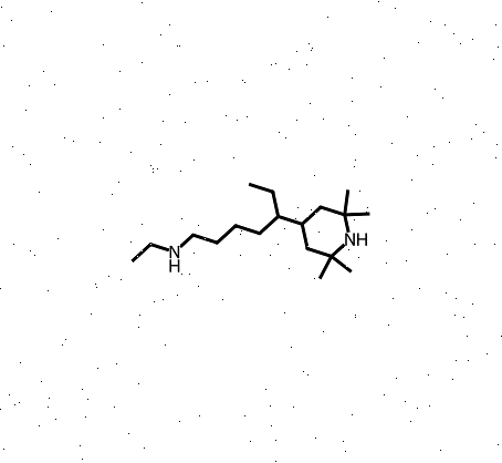 CCNCCCCC(CC)C1CC(C)(C)NC(C)(C)C1